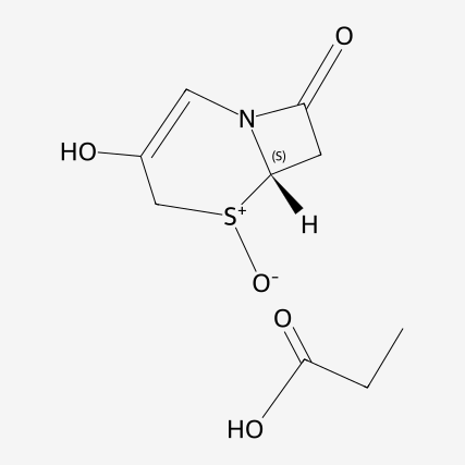 CCC(=O)O.O=C1C[C@H]2N1C=C(O)C[S+]2[O-]